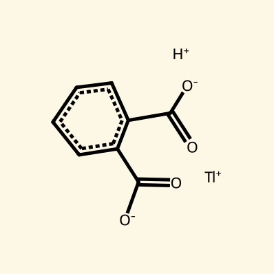 O=C([O-])c1ccccc1C(=O)[O-].[H+].[Tl+]